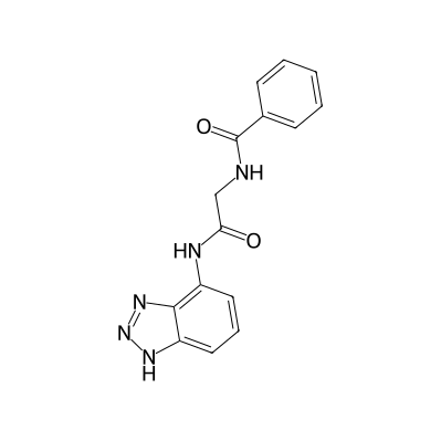 O=C(CNC(=O)c1ccccc1)Nc1cccc2[nH]nnc12